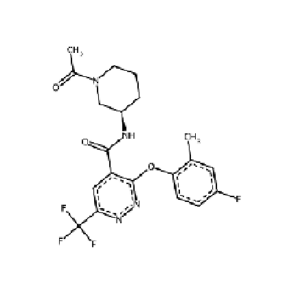 CC(=O)N1CCC[C@@H](NC(=O)c2cc(C(F)(F)F)nnc2Oc2ccc(F)cc2C)C1